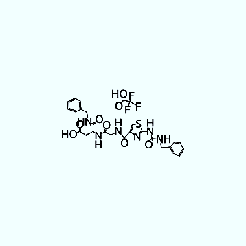 O=C(O)C(F)(F)F.O=C(O)C[C@H](NC(=O)CNC(=O)c1csc(NC(=O)NCc2ccccc2)n1)C(=O)NCc1ccccc1